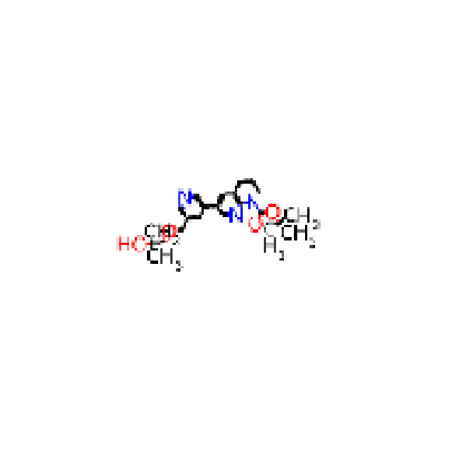 CC(C)(O)COCc1cncc(-c2cnc3c(c2)CCCN3C(=O)OC(C)(C)C)c1